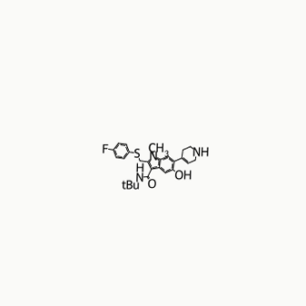 Cn1c(CSc2ccc(F)cc2)c(C(=O)NC(C)(C)C)c2cc(O)c(C3=CCNCC3)cc21